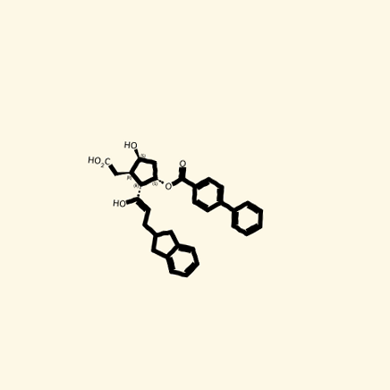 O=C(O)C[C@@H]1[C@@H](C(O)=CCC2Cc3ccccc3C2)[C@@H](OC(=O)c2ccc(-c3ccccc3)cc2)C[C@@H]1O